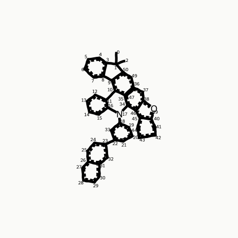 CC1(C)c2ccccc2-c2c(-c3ccccc3N(c3cccc(-c4ccc5ccccc5c4)c3)c3cccc4oc5ccccc5c34)cccc21